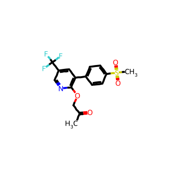 CC(=O)COc1ncc(C(F)(F)F)cc1-c1ccc(S(C)(=O)=O)cc1